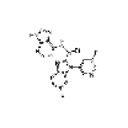 CC[C@H](Nc1ncnc2[nH]cnc12)c1nc2ccc(F)cc2n1-c1cncc(F)c1